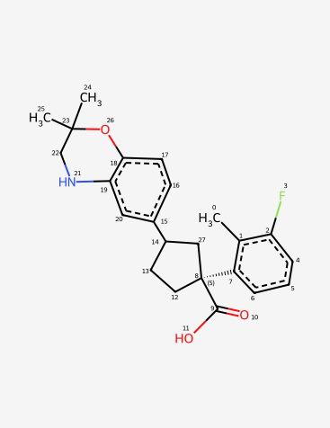 Cc1c(F)cccc1[C@]1(C(=O)O)CCC(c2ccc3c(c2)NCC(C)(C)O3)C1